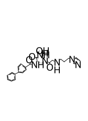 O=C(CNCCCn1ccnc1)NC[C@H](NC(=O)c1ccc(-c2ccccc2)cc1)C(=O)NO